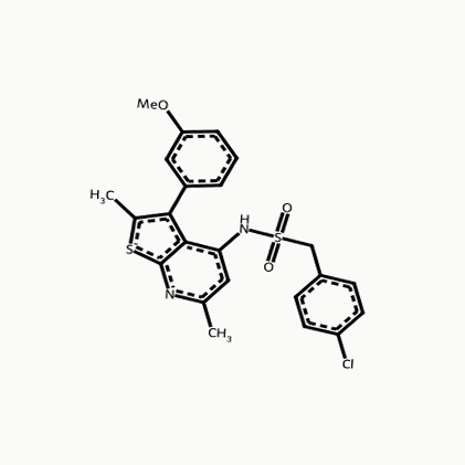 COc1cccc(-c2c(C)sc3nc(C)cc(NS(=O)(=O)Cc4ccc(Cl)cc4)c23)c1